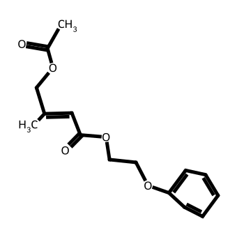 CC(=O)OC/C(C)=C/C(=O)OCCOc1ccccc1